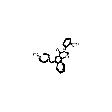 O=C1c2cc(CN3CC[S+]([O-])CC3)c3ccccc3c2OCN1[C@H]1CCCC1O